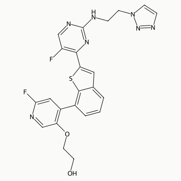 OCCOc1cnc(F)cc1-c1cccc2cc(-c3nc(NCCn4ccnn4)ncc3F)sc12